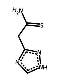 NC(=S)Cc1nc[nH]n1